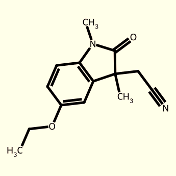 CCOc1ccc2c(c1)C(C)(CC#N)C(=O)N2C